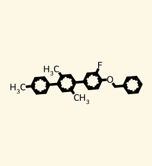 Cc1ccc(-c2cc(C)c(-c3ccc(OCc4ccccc4)c(F)c3)cc2C)cc1